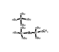 CCCC[N+](CCCC)(CCCC)CCCC.CCCC[N+](CCCC)(CCCC)CCCC.CCCC[N+](CCCC)(CCCC)CCCC.[CH3]